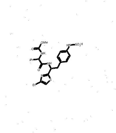 CCc1csc(C(Cc2ccc(NS(=O)(=O)O)cc2)NC(=O)C(NC(=O)OC)C(C)C)n1